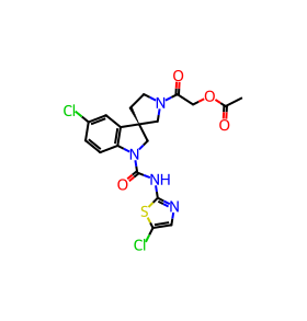 CC(=O)OCC(=O)N1CC[C@@]2(C1)CN(C(=O)Nc1ncc(Cl)s1)c1ccc(Cl)cc12